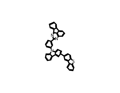 c1cc(-c2nc3c4c(cccc4n2)-c2ccccc2-3)cc(-n2c3ccccc3c3cc(-c4ccc5sc6ccccc6c5c4)ccc32)c1